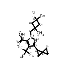 CC1(Cn2nc(C3CC34CC4)c(C(F)(F)F)c2C(=O)O)CC(F)(F)C1